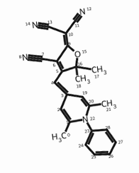 CC1=CC(=CC2=C(C#N)C(=C(C#N)C#N)OC2(C)C)C=C(C)N1c1ccccc1